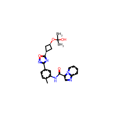 BC(B)(O)O[C@H]1C[C@@H](c2nc(-c3ccc(C)c(NC(=O)c4cnc5ccccn45)c3)no2)C1